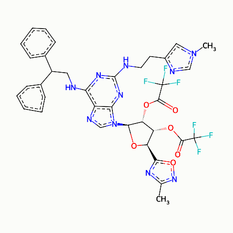 Cc1noc([C@H]2O[C@@H](n3cnc4c(NCC(c5ccccc5)c5ccccc5)nc(NCCc5cn(C)cn5)nc43)[C@H](OC(=O)C(F)(F)F)[C@@H]2OC(=O)C(F)(F)F)n1